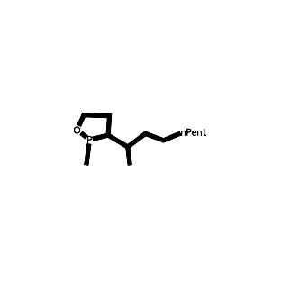 CCCCCCCC(C)C1CCOP1C